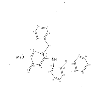 COc1cn(Cc2ccccc2)c(Nc2ccccc2Cc2ccccc2)nc1=O